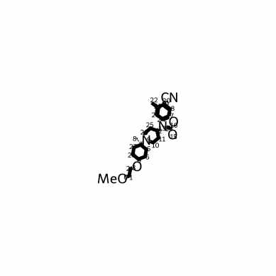 COCCO[C@H]1CC[C@](C)(N2CCC(n3c(=O)oc4cc(C#N)c(C)cc43)CC2)CC1